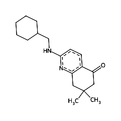 CC1(C)CC(=O)c2ccc(NCC3CCCCC3)nc2C1